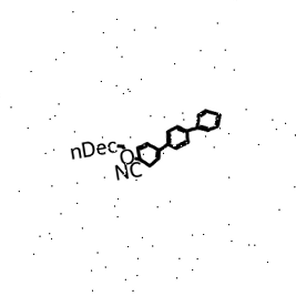 CCCCCCCCCCCOC1(C#N)C=CC(c2ccc(-c3ccccc3)cc2)=CC1